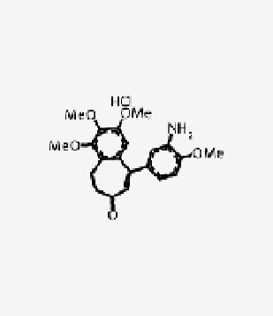 COc1ccc(C2=CC(=O)CCc3c2cc(OC)c(OC)c3OC)cc1N.Cl